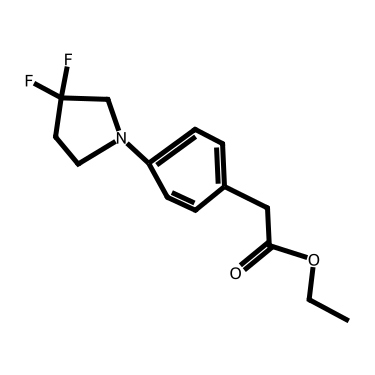 CCOC(=O)Cc1ccc(N2CCC(F)(F)C2)cc1